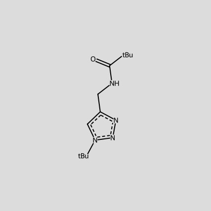 CC(C)(C)C(=O)NCc1cn(C(C)(C)C)nn1